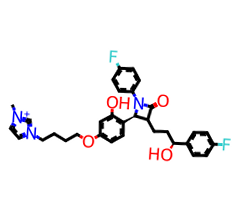 C[n+]1ccn(CCCCOc2ccc([C@@H]3C(CC[C@H](O)c4ccc(F)cc4)C(=O)N3c3ccc(F)cc3)c(O)c2)c1